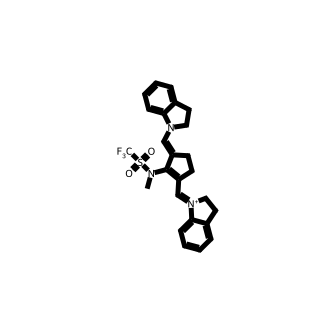 CN(C1=C(/C=[N+]2\CCc3ccccc32)CC/C1=C\N1CCc2ccccc21)S(=O)(=O)C(F)(F)F